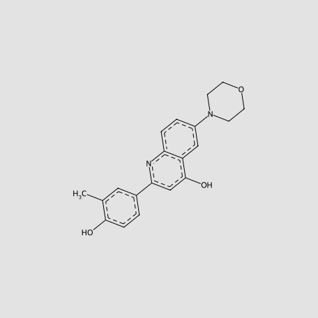 Cc1cc(-c2cc(O)c3cc(N4CCOCC4)ccc3n2)ccc1O